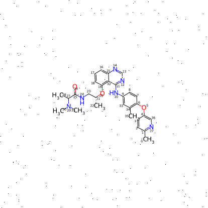 Cc1ccc(Oc2ccc(Nc3ncnc4cccc(O[C@H](C)CNC(=O)C(C)N(C)C)c34)cc2C)cn1